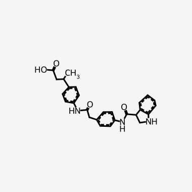 CC(CC(=O)O)c1ccc(NC(=O)Cc2ccc(NC(=O)C3CNc4ccccc43)cc2)cc1